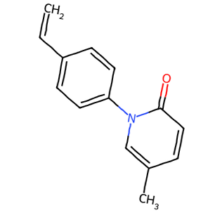 C=Cc1ccc(-n2cc(C)ccc2=O)cc1